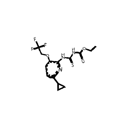 CCOC(=O)NC(=S)Nc1nc(C2CC2)ccc1OCC(F)(F)F